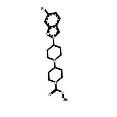 CC(C)(C)OC(=O)N1CCC(N2CCC(n3cc4ccc(Br)cc4n3)CC2)CC1